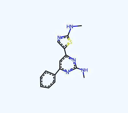 CNc1nc(-c2ccccc2)cc(-c2cnc(NC)s2)n1